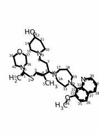 C=C(S/C=C(\C)C(CCN1CCC(O)CC1)N1CCCN(c2c(OC)ccc3cccnc23)CC1)N1CCOCC1